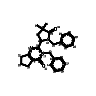 CC1(C)CC(c2nc3c(c(=O)n2Cc2ccccc2)CCC3)N(Cc2ccccc2)C1=O